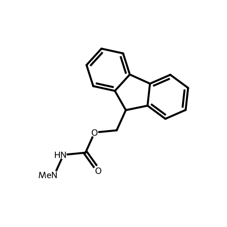 CNNC(=O)OCC1c2ccccc2-c2ccccc21